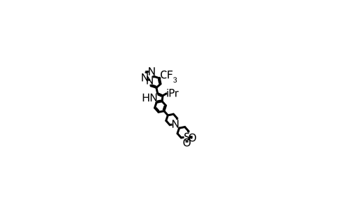 CC(C)c1c(-c2cc(C(F)(F)F)c3ncnn3c2)[nH]c2ccc(C3CCN(C4CCS(=O)(=O)CC4)CC3)cc12